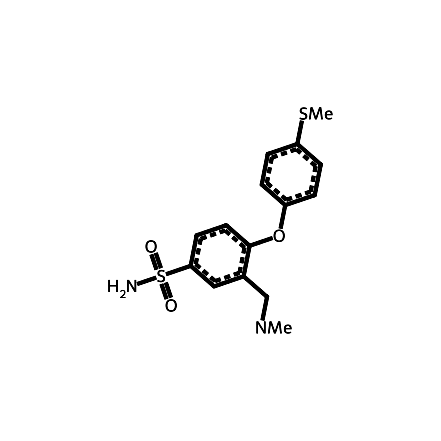 CNCc1cc(S(N)(=O)=O)ccc1Oc1ccc(SC)cc1